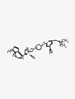 CN(C)Cc1cc(C#N)cc(OC2CCN([C@H]3C[C@@](CC#N)(n4cc(-c5ncnc6[nH]ccc56)cn4)C3)CC2)c1